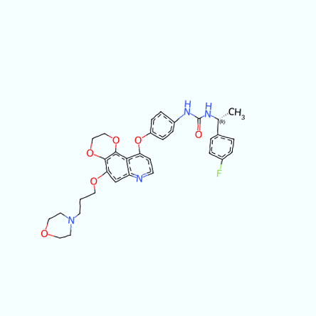 C[C@@H](NC(=O)Nc1ccc(Oc2ccnc3cc(OCCCN4CCOCC4)c4c(c23)OCCO4)cc1)c1ccc(F)cc1